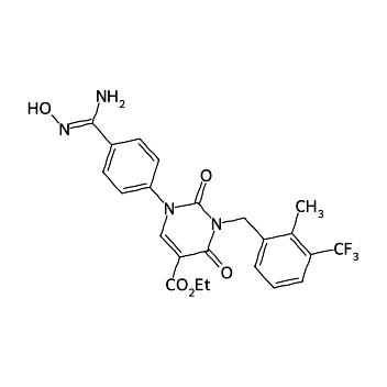 CCOC(=O)c1cn(-c2ccc(C(N)=NO)cc2)c(=O)n(Cc2cccc(C(F)(F)F)c2C)c1=O